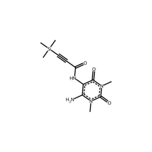 Cn1c(N)c(NC(=O)C#C[Si](C)(C)C)c(=O)n(C)c1=O